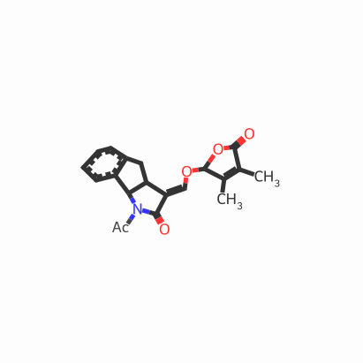 CC(=O)N1C(=O)/C(=C/OC2OC(=O)C(C)=C2C)C2Cc3ccccc3C21